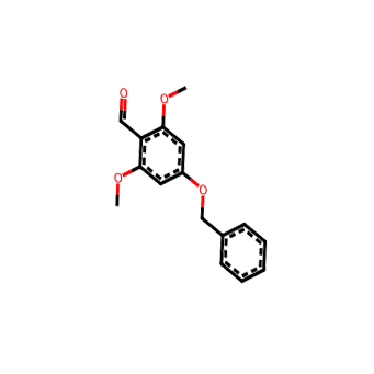 COc1cc(OCc2ccccc2)cc(OC)c1C=O